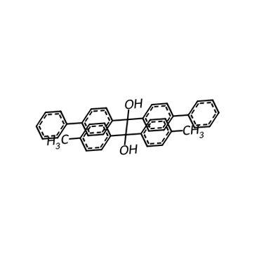 Cc1ccc(C(O)(c2ccc(C)cc2)C(O)(c2ccc(-c3ccccc3)cc2)c2ccc(-c3ccccc3)cc2)cc1